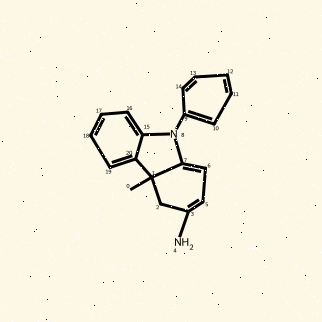 CC12CC(N)=CC=C1N(c1ccccc1)c1ccccc12